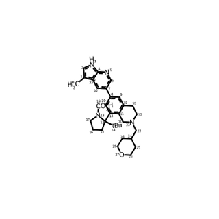 Cc1c[nH]c2ncc(-c3cc4c(c(C5(C(C)(C)C)CCCN5C(=O)O)c3)CN(CC3CCOCC3)CC4)cc12